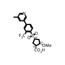 CO[C@H]1C[C@@H](S(=O)(=O)c2ccc(-c3cncc(C)c3)cc2C(F)(F)F)C[C@@H]1C(=O)O